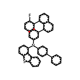 Fc1ccccc1-c1cccc2cccc(-c3cccc(N(c4ccc(-c5ccccc5)cc4)c4cccc5sc6ccccc6c45)c3)c12